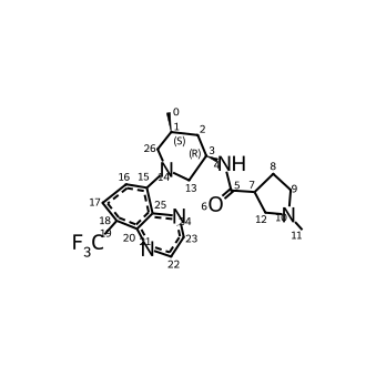 C[C@H]1C[C@@H](NC(=O)C2CCN(C)C2)CN(c2ccc(C(F)(F)F)c3nccnc23)C1